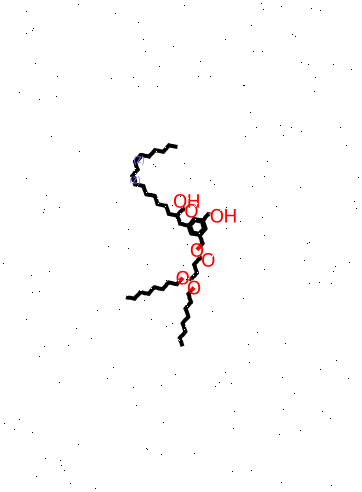 CCCCC/C=C\C/C=C\CCCCCCC(Cc1cc(CO)cc(COC(=O)CCC(OCCCCCCCC)OCCCCCCCC)c1)C(=O)O